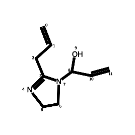 C=CCC1=NCCN1C(O)C=C